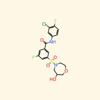 O=C(Nc1ccc(F)c(Cl)c1)c1cc(F)cc(S(=O)(=O)N2CCOCC(O)C2)c1